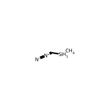 C.[N-]=[N+]=C[SiH3]